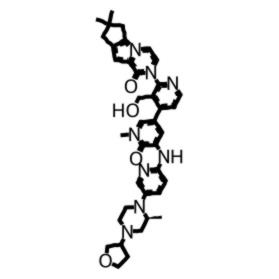 C[C@H]1CN(C2CCOC2)CCN1c1ccc(Nc2cc(-c3ccnc(-n4ccn5c6c(cc5c4=O)CC(C)(C)C6)c3CO)cn(C)c2=O)nc1